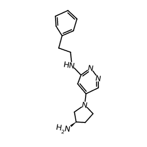 N[C@@H]1CCN(c2cnnc(NCCc3ccccc3)c2)C1